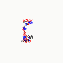 CCc1c2c(nc3ccccc13)-c1cc3c(c(=O)n1C2)COC(=O)[C@@]3(CC)OC(=O)[C@@H](NC(=O)[C@@H]1CCCN1C(=O)[C@H](CC(=O)O)NC(=O)CCOCCOCCOCCNC(=O)N1CCC(CCn2ccc3cc(-n4c(-c5cc(C(C)C)c(O)cc5O)n[nH]c4=O)ccc32)CC1)[SiH2]C(C)C